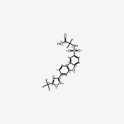 CC(C)(NS(=O)(=O)c1ccc2oc3cc(-c4noc(C(C)(C)C)n4)ccc3c2c1)C(=O)O